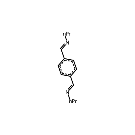 CCCN=Cc1ccc(C=NCCC)cc1